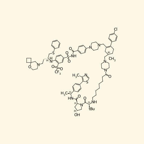 Cc1ncsc1-c1ccc([C@H](C)NC(=O)[C@@H]2C[C@@H](O)CN2C(=O)[C@@H](NCCCCCCCC(=O)N2CCN(C[C@]3(C)CCC(c4ccc(Cl)cc4)=C(CN4CCN(c5ccc(C(=O)NS(=O)(=O)c6ccc(N[C@H](CCN7CCOC8(CCC8)C7)CSc7ccccc7)c(S(=O)(=O)C(F)(F)F)c6)cc5)CC4)C3)CC2)C(C)(C)C)cc1